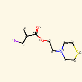 CC(CI)C(=O)OCCN1CCSCC1